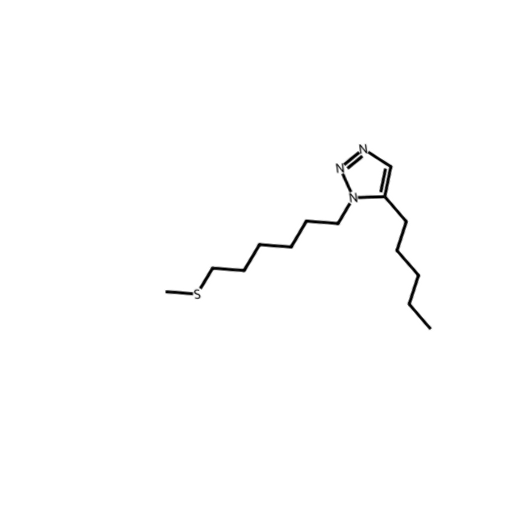 CCCCCc1cnnn1CCCCCCSC